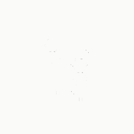 CN(C)c1cc2c(cc1F)c(=O)c(N)cn2CC(C)(C)c1ccc(C(F)(F)F)cc1